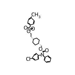 Cc1ccc(S(=O)(=O)OCC[C@H]2CC[C@@H](COC(=O)N(c3ccccc3)c3ccc(Cl)cc3)CC2)cc1